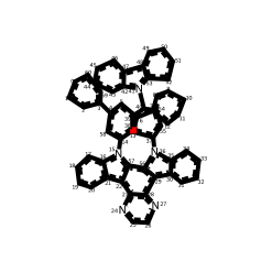 c1ccc(-c2cc(-c3ccccc3)cc(-n3c4ccccc4c4c5nccnc5c5c6ccccc6n(-c6ccc(-n7c8ccccc8c8ccccc87)cc6)c5c43)c2)cc1